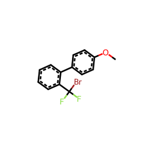 COc1ccc(-c2ccccc2C(F)(F)Br)cc1